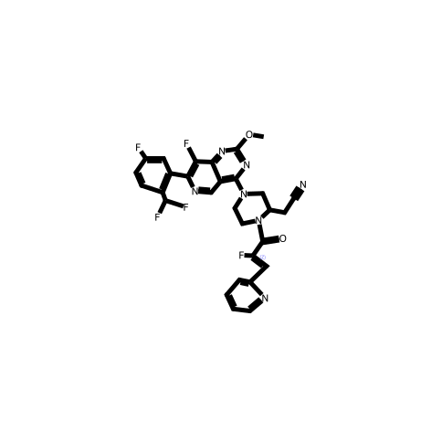 COc1nc(N2CCN(C(=O)/C(F)=C/c3ccccn3)C(CC#N)C2)c2cnc(-c3cc(F)ccc3C(F)F)c(F)c2n1